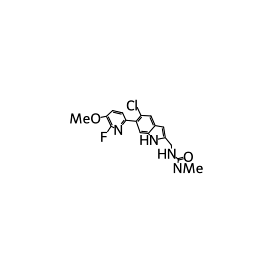 CNC(=O)NCc1cc2cc(Cl)c(-c3ccc(OC)c(F)n3)cc2[nH]1